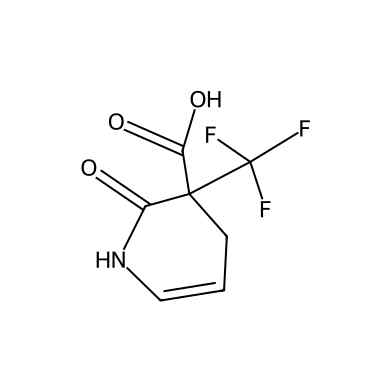 O=C(O)C1(C(F)(F)F)CC=CNC1=O